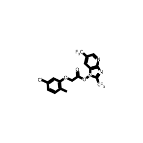 Cc1ccc(Cl)cc1OCC(=O)On1c(C(F)(F)F)nc2ncc(C(F)(F)F)cc21